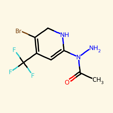 CC(=O)N(N)C1=CC(C(F)(F)F)=C(Br)CN1